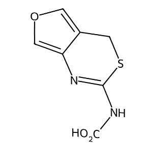 O=C(O)NC1=Nc2cocc2CS1